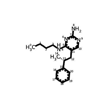 CCCCNc1nc(N)ncc1C[C@@H](C)c1ccccc1